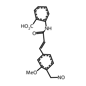 COc1cc(/C=C/C(=O)Nc2ccccc2C(=O)O)ccc1CN=O